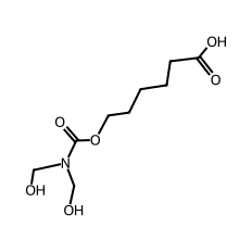 O=C(O)CCCCCOC(=O)N(CO)CO